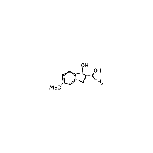 COc1ccc2c(c1)CC(C(C)O)C2O